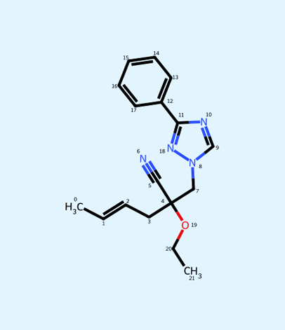 CC=CCC(C#N)(Cn1cnc(-c2ccccc2)n1)OCC